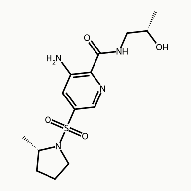 C[C@H](O)CNC(=O)c1ncc(S(=O)(=O)N2CCC[C@@H]2C)cc1N